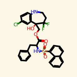 O=C(OC[C@]1(O)c2cc(Cl)ccc2NCCC1(F)F)C(Cc1ccccc1)NS(=O)(=O)c1cccc2ccccc12